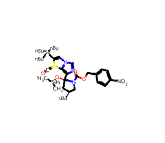 CCC[CH2][Sn]([CH2]CCC)([CH2]CCC)[C]1=Cn2cnc([C@@]3(O[SiH](C)C)C[C@H](C(C)(C)C)CN3C(=O)OCc3ccc([N+](=O)[O-])cc3)c2S1=C=O